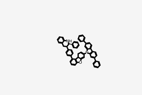 C1=C2Oc3cccc(-c4ccc(C5Cc6ccccc6N[C@H]5c5ccccc5)cc4)c3C2CC=C1n1c2cc(-c3ccccc3)ccc2c2ccc(-c3ccccc3)cc21